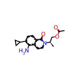 CC(=O)OC[C@@H](C)n1ccc2c(N)c(C3CC3)ccc2c1=O